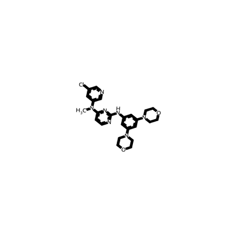 CN(c1cncc(Cl)c1)c1ccnc(Nc2cc(N3CCOCC3)cc(N3CCOCC3)c2)n1